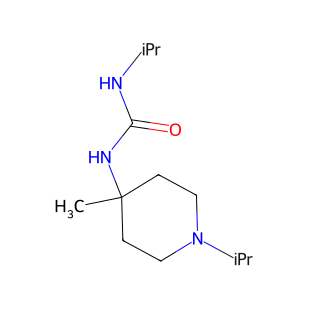 CC(C)NC(=O)NC1(C)CCN(C(C)C)CC1